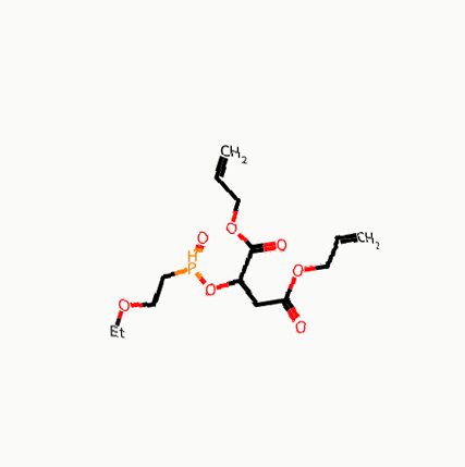 C=CCOC(=O)CC(O[PH](=O)CCOCC)C(=O)OCC=C